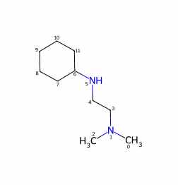 CN(C)CCNC1CCCCC1